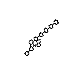 c1ccc(-c2ccc(-c3ccc(-c4ccc(-c5cccc6c5sc5cccc(-n7c8ccccc8c8cc(-c9ccccc9)ccc87)c56)cc4)cc3)cc2)cc1